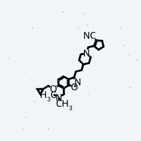 CN(C)Cc1c(OCC2CC2)ccc2c(CCC3CCN(CC4=C(C#N)CCC4)CC3)noc12